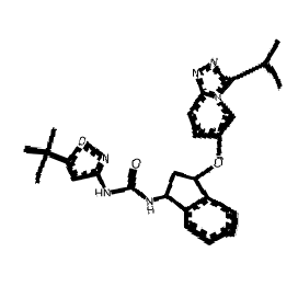 CC(C)c1nnc2ccc(OC3CC(NC(=O)Nc4cc(C(C)(C)C)on4)c4ccccc43)cn12